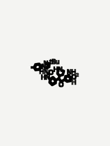 Cc1ccc(-n2nc(C(C)(C)C)cc2NC(=O)Nc2cccc(C(C(=O)c3ccc(O)c(N)c3)C3CCNCC3)c2)cc1